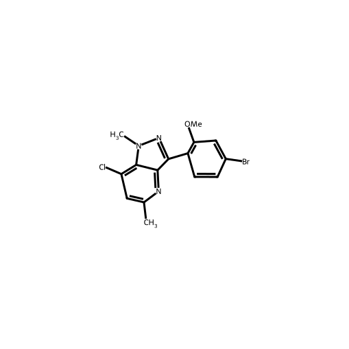 COc1cc(Br)ccc1-c1nn(C)c2c(Cl)cc(C)nc12